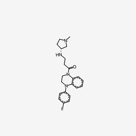 CN1CC[C@@H](NCCC(=O)N2CCN(c3ccc(F)cc3)c3ccccc32)C1